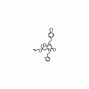 C=CCOC(=O)CC1C(=O)N(CCc2ccc(Cl)cc2)CC(=O)N1CCc1cccs1